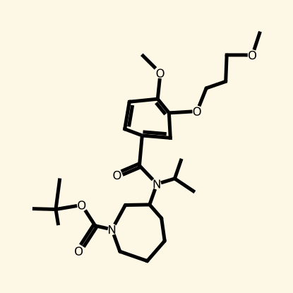 COCCCOc1cc(C(=O)N(C(C)C)C2CCCCN(C(=O)OC(C)(C)C)C2)ccc1OC